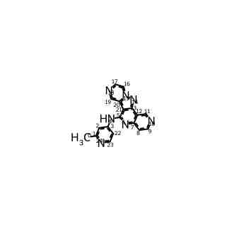 Cc1cc(Nc2nc3ccncc3c3nn4ccncc4c23)ccn1